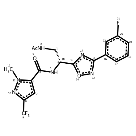 CC(=O)NC[C@@H](NC(=O)c1cc(C(F)(F)F)nn1C)c1nc(-c2cccc(F)c2)no1